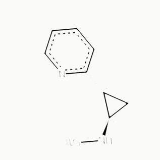 CC(C)(C)N[C@@H]1C[C@H]1c1ccccn1